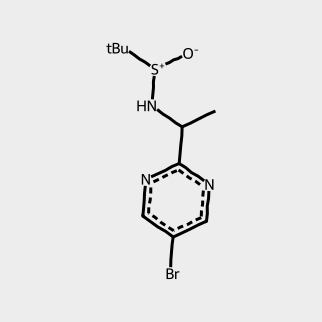 CC(N[S+]([O-])C(C)(C)C)c1ncc(Br)cn1